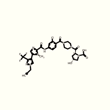 C#CCn1cc(-c2cnc(C(=O)Nc3ccc(C(=O)N4CCN(C(=O)[C@@H]5C[C@@H](O)CN5C(=O)O)CC4)c(Cl)c3)n2C)c(C(F)(F)F)n1